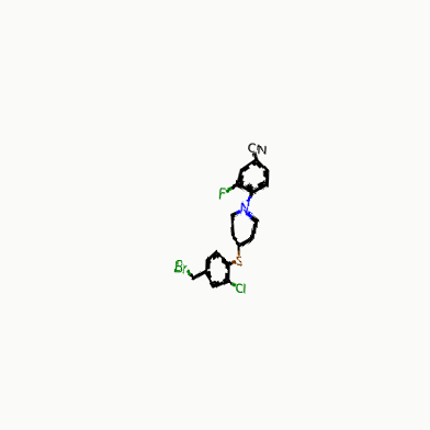 N#Cc1ccc(N2CCC(Sc3ccc(CBr)cc3Cl)CC2)c(F)c1